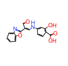 O=CC(=CNc1ccc(C(=O)O)c(O)c1)c1nc2ccccc2o1